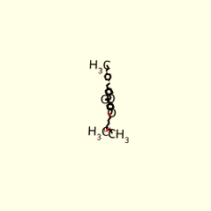 CCC[C@H]1CC[C@H](CCc2ccc(OC(=O)c3ccc(OCCCCC[C@@H](C)CC)cc3)cc2)CC1